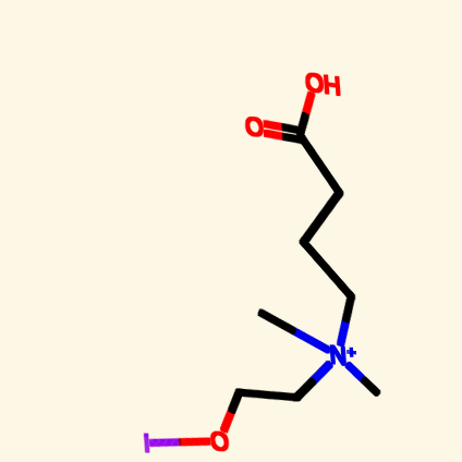 C[N+](C)(CCCC(=O)O)CCOI